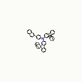 c1ccc2c(c1)-c1ccc(N(c3ccc(-c4ccc5ccccc5c4)cc3)c3ccc4c(c3)C3(c5ccccc5-4)C4CC5CC(C4)CC3C5)cc1C21C2CC3CC(C2)CC1C3